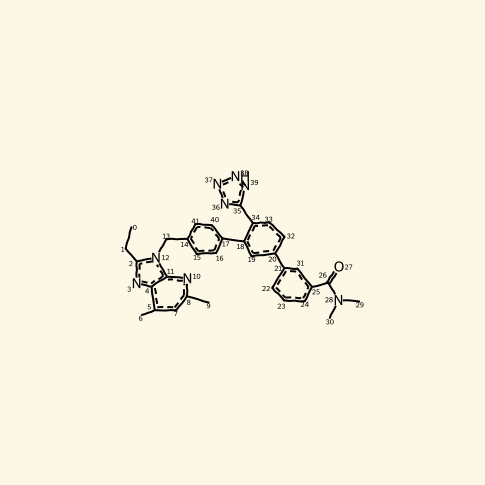 CCc1nc2c(C)cc(C)nc2n1Cc1ccc(-c2cc(-c3cccc(C(=O)N(C)C)c3)ccc2-c2nn[nH]n2)cc1